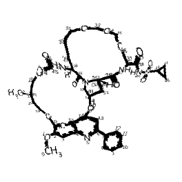 COc1cc2nc(-c3ccccc3)cc3c2cc1CCC[C@@H](C)COC(=O)N[C@H]1CCCCCCCCC(C(=O)NS(=O)(=O)C2CC2)NC(=O)[C@@H]2C[C@H](CN2C1=O)O3